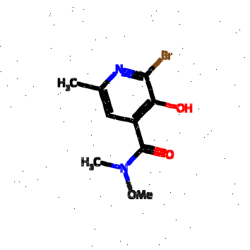 CON(C)C(=O)c1cc(C)nc(Br)c1O